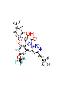 CC(C)c1ccc(C(=O)C2=C(O)C(=O)N(c3ccc(C#C[Si](C)(C)C)nn3)C2c2ccc(OC(F)(F)F)cc2)cc1